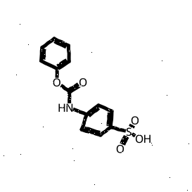 O=C(Nc1ccc(S(=O)(=O)O)cc1)Oc1ccccc1